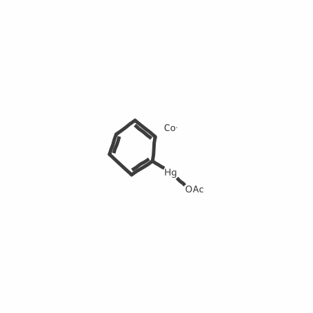 CC(=O)[O][Hg][c]1ccccc1.[Co]